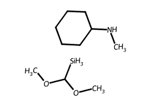 CNC1CCCCC1.COC([SiH3])OC